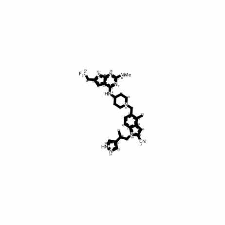 CNc1nc(NC2CCN(Cc3ccc4c(cc(C#N)n4CC(C)c4cn[nH]c4)c3C)CC2)c2cc(CC(F)(F)F)sc2n1